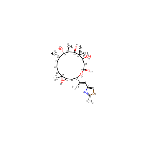 C/C(=C\c1csc(C)n1)[C@@H]1CC2OC2(C(F)(F)F)CCC[C@H](C)[C@H](O)[C@@H](C)C(=O)C(C)(C)[C@@H](O)CC(=O)O1